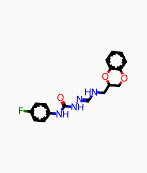 O=C(NN=CNCC1COc2ccccc2O1)Nc1ccc(F)cc1